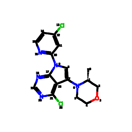 C[C@@H]1COCCN1c1cn(-c2cc(Cl)ccn2)c2ncnc(Cl)c12